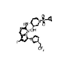 O=S(=O)(C1CC1)N1CC[C@@H](Nc2ncc3c(F)cc(N4CC[C@@H](CC(F)(F)F)C4)n3n2)[C@H](O)C1